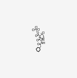 CC1(Cl)CS[C@H]2C(NC(=O)Cc3ccccc3)C(=O)N2C1C(=O)OCC(Cl)(Cl)Cl